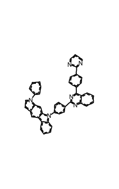 c1ccc(-n2ccc3cc4c5ccccc5n(-c5ccc(-c6nc(-c7ccc(-c8ncccn8)cc7)c7ccccc7n6)cc5)c4cc32)cc1